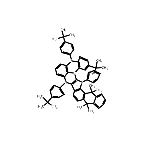 CC(C)(C)c1ccc(N2c3ccc(C(C)(C)C)cc3B3c4c2cccc4N(c2ccc(C(C)(C)C)cc2)c2c3n(-c3ccccc3)c3c4c(ccc23)C(C)(C)c2ccccc2C4(C)C)cc1